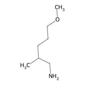 COCCCC(C)CN